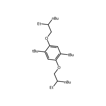 CCCCC(CC)COc1cc(C(C)(C)C)c(OCC(CC)CCCC)cc1C(C)(C)C